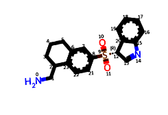 NCC1CCCc2cc(S(=O)(=O)[C@H]3C=Nc4ccccc43)ccc21